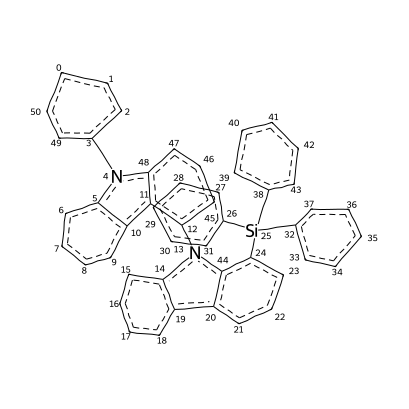 c1ccc(-n2c3ccccc3c3c(-n4c5ccccc5c5cccc([Si](c6ccccc6)(c6ccccc6)c6ccccc6)c54)cccc32)cc1